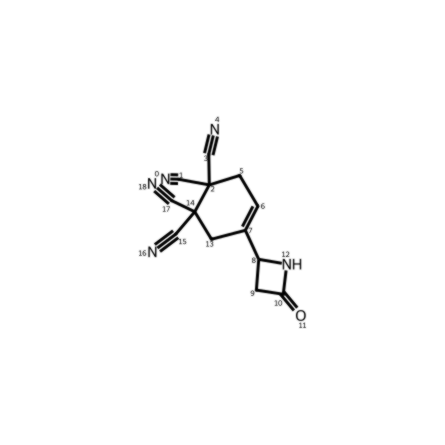 N#CC1(C#N)CC=C(C2CC(=O)N2)CC1(C#N)C#N